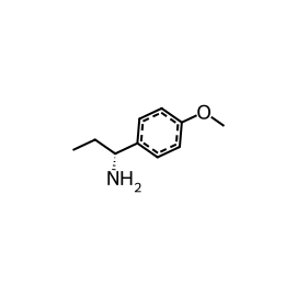 CC[C@@H](N)c1ccc(OC)cc1